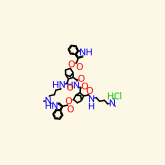 CN(C)CCCCNC(=O)C1C2CC(OC(=O)c3c[nH]c4ccccc34)C(C2)C1C(=O)NC(=O)C1C2CC(CC2OC(=O)c2c[nH]c3ccccc23)C1C(=O)NCCCCN(C)C.Cl